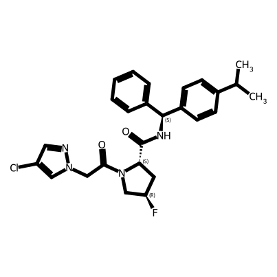 CC(C)c1ccc([C@@H](NC(=O)[C@@H]2C[C@@H](F)CN2C(=O)Cn2cc(Cl)cn2)c2ccccc2)cc1